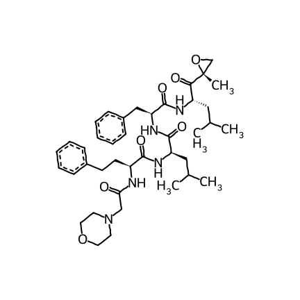 CC(C)C[C@H](NC(=O)[C@H](Cc1ccccc1)NC(=O)[C@@H](CC(C)C)NC(=O)[C@H](CCc1ccccc1)NC(=O)CN1CCOCC1)C(=O)[C@@]1(C)CO1